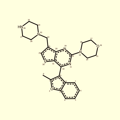 Cc1oc2ccccc2c1-c1nc(N2CCOCC2)nc2c(CN3CCNCC3)csc12